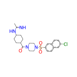 CC(=N)NC1CCC(C(=O)N2CCN(S(=O)(=O)c3ccc4cc(Cl)ccc4c3)CC2)CC1